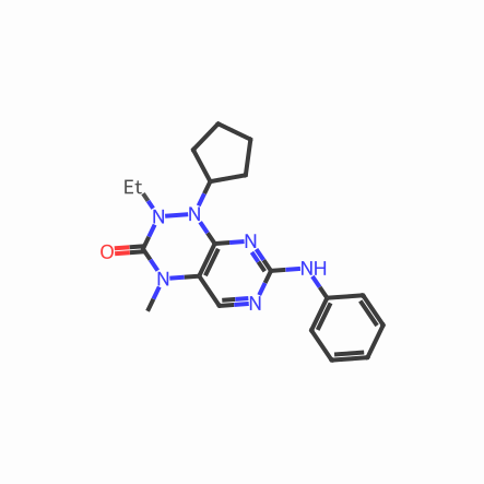 CCN1C(=O)N(C)c2cnc(Nc3ccccc3)nc2N1C1CCCC1